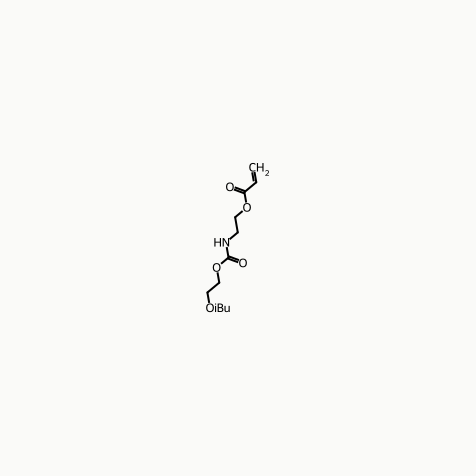 C=CC(=O)OCCNC(=O)OCCOCC(C)C